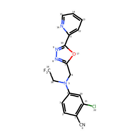 N#Cc1ccc(N(Cc2nnc(-c3ccccn3)o2)CC(F)(F)F)cc1Cl